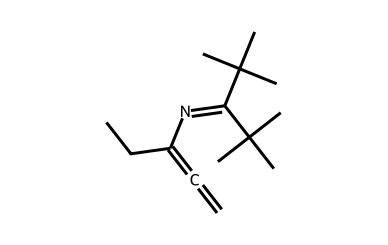 C=C=C(CC)N=C(C(C)(C)C)C(C)(C)C